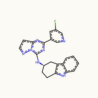 Fc1cncc(-c2nc(N[C@@H]3CCc4[nH]c5ccccc5c4C3)n3nccc3n2)c1